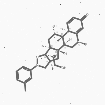 Cc1cccc(N2C[C@@H]3C[C@H]4[C@@H]5C[C@H](F)C6=CC(=O)C=C[C@]6(C)[C@@]5(F)[C@@H](O)C[C@]4(C)[C@]3(C(=O)CO)O2)c1